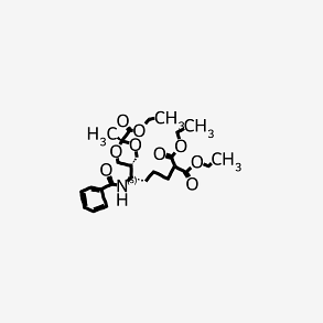 CCOC(=O)C(CCC[C@H](NC(=O)c1ccccc1)[C@H]1CO[C@@](C)(C(=O)OCC)OC1)C(=O)OCC